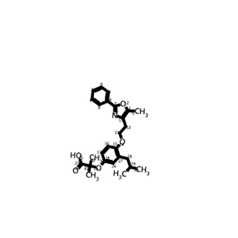 Cc1oc(-c2ccccc2)nc1CCOc1ccc(OC(C)(C)C(=O)O)cc1CC(C)C